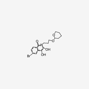 O=c1c2ccc(Br)cc2c(O)c(O)n1CCCOC1CCCCO1